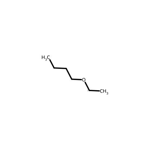 C[C]OCCCC